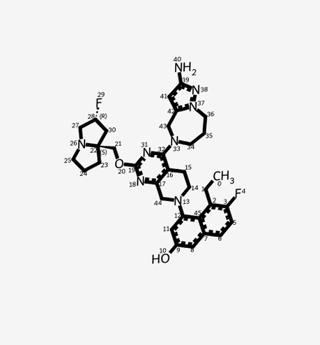 CCc1c(F)ccc2cc(O)cc(N3CCc4c(nc(OC[C@@]56CCCN5C[C@H](F)C6)nc4N4CCCn5nc(N)cc5C4)C3)c12